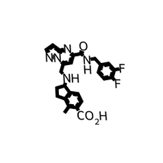 Cc1c(C(=O)O)ccc2c1CCC2NCc1cc(C(=O)NCc2ccc(F)c(F)c2)nc2ccnn12